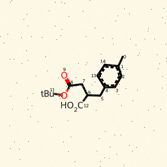 Cc1ccc(CC(CC(=O)OC(C)(C)C)C(=O)O)cc1